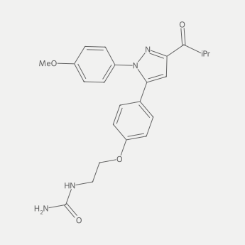 COc1ccc(-n2nc(C(=O)C(C)C)cc2-c2ccc(OCCNC(N)=O)cc2)cc1